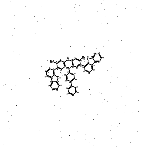 Brc1cc2c(cc1-c1cccc3c1oc1ccccc13)N(c1ccc(-c3ccccc3)cc1)c1cc(-c3cccc4c3oc3ccccc34)c(Br)cc1O2